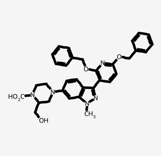 Cn1nc(-c2ccc(OCc3ccccc3)nc2OCc2ccccc2)c2ccc(N3CCN(C(=O)O)C(CO)C3)cc21